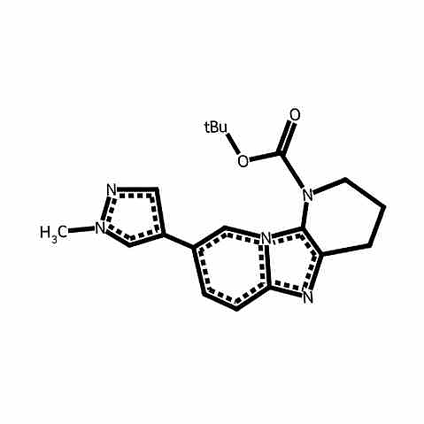 Cn1cc(-c2ccc3nc4c(n3c2)N(C(=O)OC(C)(C)C)CCC4)cn1